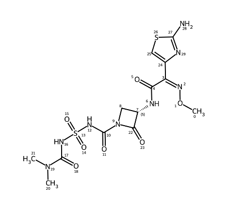 CON=C(C(=O)N[C@H]1CN(C(=O)NS(=O)(=O)NC(=O)N(C)C)C1=O)c1csc(N)n1